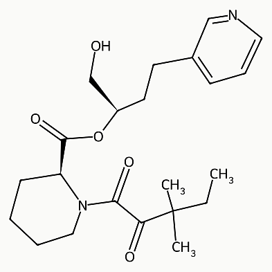 CCC(C)(C)C(=O)C(=O)N1CCCC[C@H]1C(=O)O[C@@H](CO)CCc1cccnc1